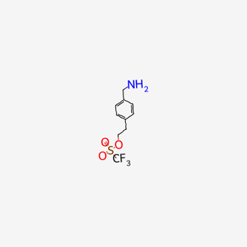 NCc1ccc(CCOS(=O)(=O)C(F)(F)F)cc1